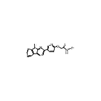 CC(C)NC(=S)COc1ccc(-c2ccc3c(n2)[nH]c2ccncc23)cn1